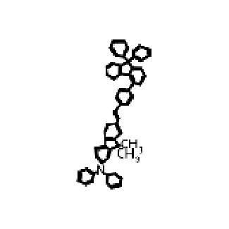 CC1(C)c2cc(/C=C/c3ccc(-c4cccc5c4C4=C(C=CCC4)C5(c4ccccc4)c4ccccc4)cc3)ccc2-c2ccc(N(c3ccccc3)c3ccccc3)cc21